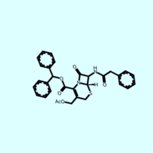 CC(=O)OCC1=C(C(=O)OC(c2ccccc2)c2ccccc2)N2C(=O)C(NC(=O)Cc3ccccc3)[C@@H]2SC1